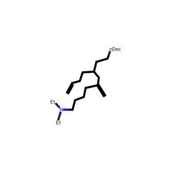 C=CCCC(CCCCCCCCCCCC)CC(=C)CCCCN(CC)CC